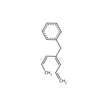 C=C/C=C(\C=C/C)Cc1ccccc1